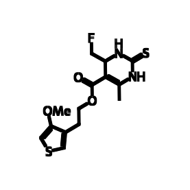 COc1cscc1CCOC(=O)C1=C(C)NC(=S)NC1CF